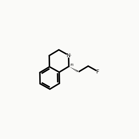 FCC[C@H]1[N]CCc2ccccc21